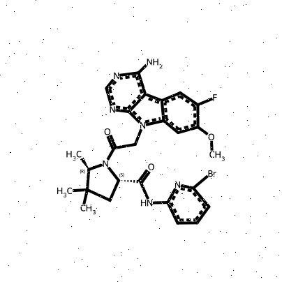 COc1cc2c(cc1F)c1c(N)ncnc1n2CC(=O)N1[C@H](C(=O)Nc2cccc(Br)n2)CC(C)(C)[C@H]1C